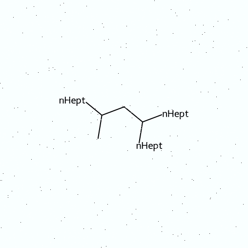 CCCCCCCC(C)CC(CCCCCCC)CCCCCCC